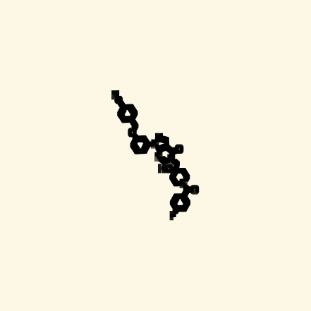 N#Cc1ccc(COc2cccc(-n3ncc4c(=O)n(CC5(O)CCN(C(=O)c6ccc(F)cc6)CC5)cnc43)c2)cc1